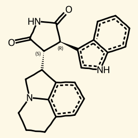 O=C1NC(=O)[C@@H](C2CN3CCCc4cccc2c43)[C@@H]1c1c[nH]c2ccccc12